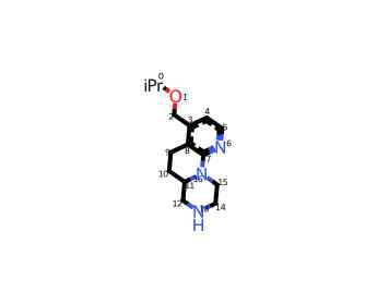 CC(C)OCc1ccnc2c1CCC1CNCCN21